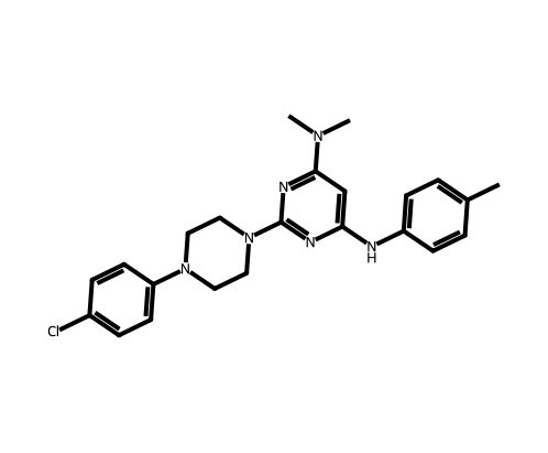 Cc1ccc(Nc2cc(N(C)C)nc(N3CCN(c4ccc(Cl)cc4)CC3)n2)cc1